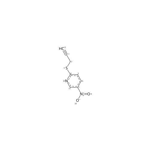 C#CCSc1ccc([N+](=O)[O-])cn1